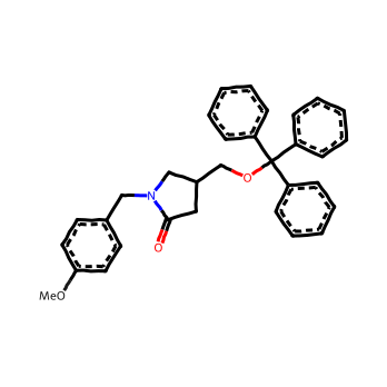 COc1ccc(CN2CC(COC(c3ccccc3)(c3ccccc3)c3ccccc3)CC2=O)cc1